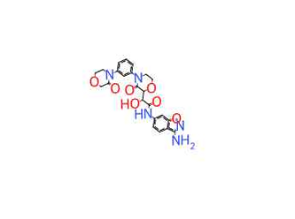 Nc1noc2cc(NC(=O)C(O)C3OCCN(c4cccc(N5CCOCC5=O)c4)C3=O)ccc12